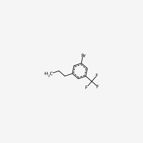 [CH2]CCc1cc(Br)cc(C(F)(F)F)c1